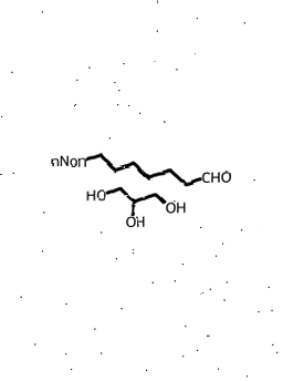 CCCCCCCCCCCCCCCC=O.OCC(O)CO